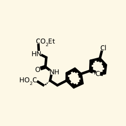 CCOC(=O)NCC(=O)N[C@@H](CC(=O)O)Cc1ccc(-c2cccc(Cl)c2)cc1